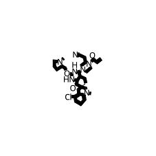 C=CC(=O)N1CCN(C2NC(OCC3CCCN3C)NC3C(=O)[C@]4(CCC32)Cc2c(Cl)cccc2N(C)C4)CC1CC#N